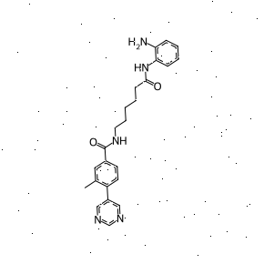 Cc1cc(C(=O)NCCCCCC(=O)Nc2ccccc2N)ccc1-c1cncnc1